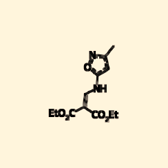 CCOC(=O)C(=CNc1cc(C)no1)C(=O)OCC